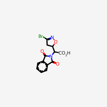 O=C(O)C(C1CC(Br)=NO1)N1C(=O)c2ccccc2C1=O